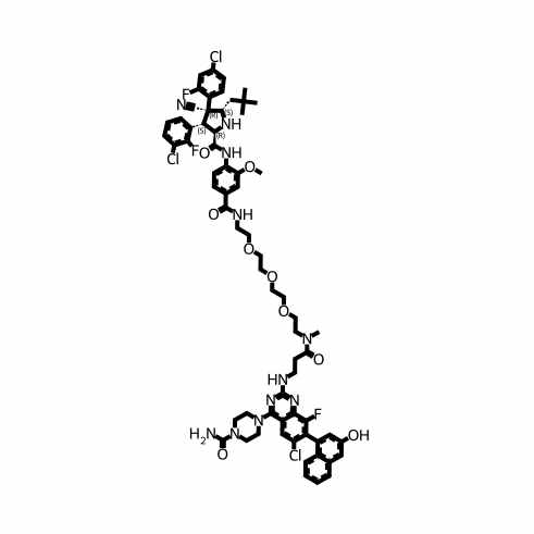 COc1cc(C(=O)NCCOCCOCCOCCN(C)C(=O)CCNc2nc(N3CCN(C(N)=O)CC3)c3cc(Cl)c(-c4cc(O)cc5ccccc45)c(F)c3n2)ccc1NC(=O)[C@@H]1N[C@@H](CC(C)(C)C)[C@](C#N)(c2ccc(Cl)cc2F)[C@H]1c1cccc(Cl)c1F